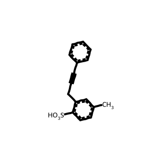 Cc1ccc(S(=O)(=O)O)c(CC#Cc2ccccc2)c1